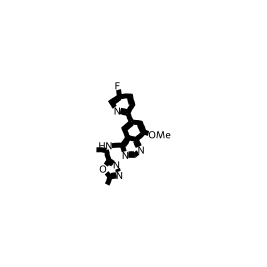 COc1cc(-c2ccc(F)cn2)cc2c(NC(C)c3nnc(C)o3)ncnc12